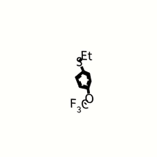 CCSc1ccc(OC(F)(F)F)cc1